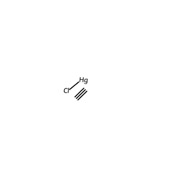 C#C.[Cl][Hg]